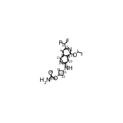 CCOc1nc(C(F)F)cc2cnc(N[C@H]3C[C@H](OC(N)=O)C3)cc12